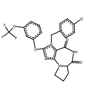 O=C1NC(=O)C2CCCN2c2nc(Oc3cccc(OC(F)(F)F)c3)n(Cc3ccc(Cl)cc3)c21